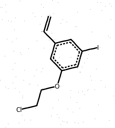 C=[C]c1cc(I)cc(OCCCl)c1